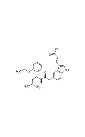 CCOc1ccccc1C(CC(C)C)NC(=O)Cc1ccc2[nH]cc(CCC(=O)O)c2c1